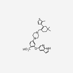 Cc1sccc1C1=C(CN2CCN(c3ccc(C(=O)O)c(Oc4cnc5[nH]ccc5c4)c3)CC2)CCC(C)(C)C1